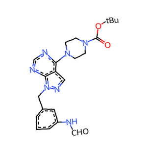 CC(C)(C)OC(=O)N1CCN(c2ncnc3c2cnn3Cc2cccc(NC=O)c2)CC1